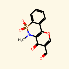 CN1c2c(occ(C=O)c2=O)-c2ccccc2S1(=O)=O